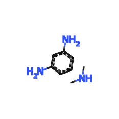 CNC.Nc1cccc(N)c1